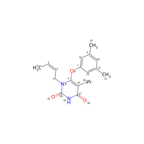 C/C=C\Cn1c(Oc2cc(C)cc(C)c2)c(C(C)C)c(=O)[nH]c1=O